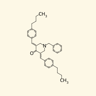 CCCCc1ccc(/C=C2\CN(Cc3ccccc3)C/C(=C\c3ccc(CCCC)cc3)C2=O)cc1